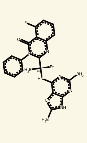 Bc1nc(N[C@@](B)(CC)c2nc3cccc(F)c3c(=O)n2-c2ccccc2)c2nc(B)[nH]c2n1